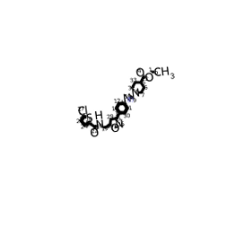 CCOC(=O)C1CCN(/C=N/c2ccc(C3=NOC(CNC(=O)c4ccc(Cl)s4)C3)cc2)CC1